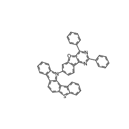 c1ccc(-c2nc(-c3ccccc3)c3oc4cc(-n5c6ccccc6c6ccc7sc8ccccc8c7c65)ccc4c3n2)cc1